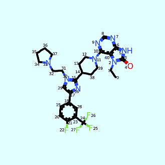 CCn1c(=O)[nH]c2ncnc(N3CCC(c4nc(-c5ccc(F)c(C(F)(F)F)c5)cn4CCN4CCCC4)CC3)c21